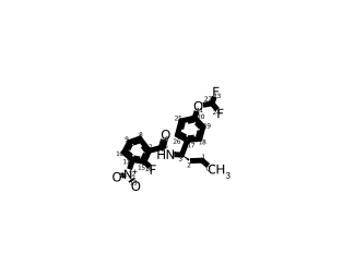 CCC[C@H](NC(=O)c1cccc([N+](=O)[O-])c1F)c1ccc(OC(F)F)cc1